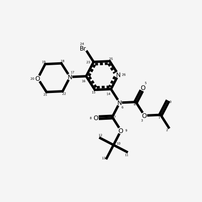 C=C(C)OC(=O)N(C(=O)OC(C)(C)C)c1cc(N2CCOCC2)c(Br)cn1